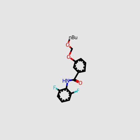 CCCCOCOc1cccc(C(=O)Nc2c(F)cccc2F)c1